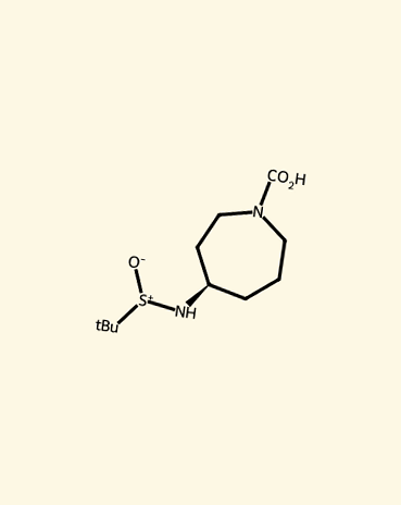 CC(C)(C)[S+]([O-])N[C@@H]1CCCN(C(=O)O)CC1